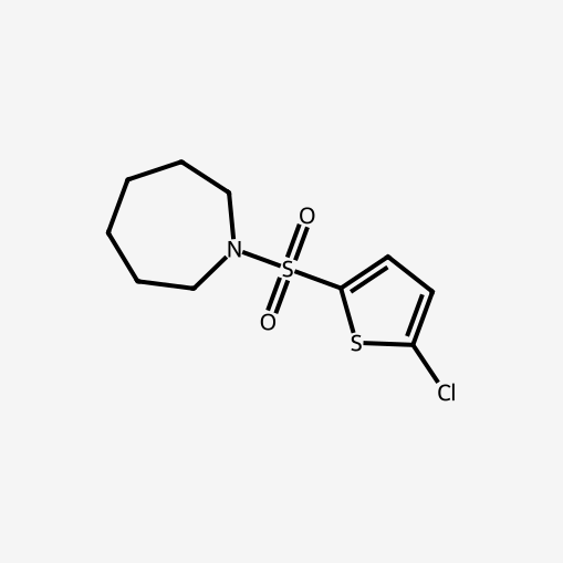 O=S(=O)(c1ccc(Cl)s1)N1CCCCCC1